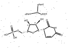 CCCCCN(CCCCC)CCCCC.O=c1ccn([C@@H]2O[C@H](COP(=O)(O)O)[C@@H](O)[C@H]2O)c(=O)[nH]1